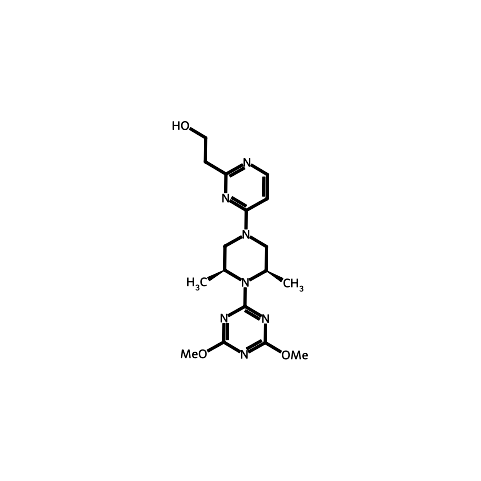 COc1nc(OC)nc(N2[C@H](C)CN(c3ccnc(CCO)n3)C[C@@H]2C)n1